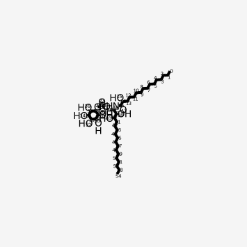 CCCCCCCCCCCCCCC(O)C(=O)N[C@@H](COP(=O)(O)OC1C(O)C(O)C(O)[C@@H](O)C1O)[C@H](O)[C@H](O)CCCCCCCCCCCCCC